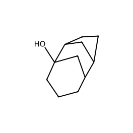 OC12CCCC(C1)C1CCC2C1